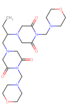 CCC(CN1CC(=O)N(CN2CCOCC2)C(=O)C1)N1CC(=O)N(CN2CCOCC2)C(=O)C1